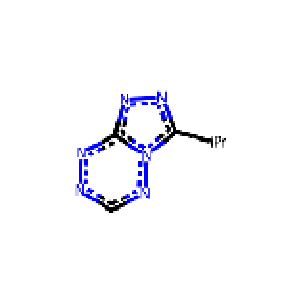 CC(C)c1nnc2nncnn12